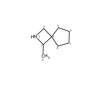 CC1NCC12CCCC2